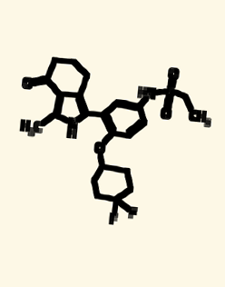 CCS(=O)(=O)Nc1ccc(OC2CCC(F)(F)CC2)c(-c2[nH]c(C)c3c2CCCC3=O)c1